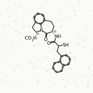 O=C(N[C@H]1CCc2cccc3c2N(C1=O)[C@H](C(=O)O)C3)C(S)Cc1cccc2ccccc12